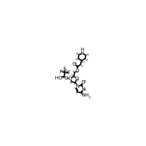 Nc1ccn(C2COC(COC(=O)CC3CCNCC3)O2)c(=O)n1.O=C(O)C(F)(F)F